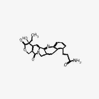 CC[C@@]1(O)C(=O)OCc2c1cc1n(c2=O)Cc2cc3c(CCC(N)=O)cccc3nc2-1